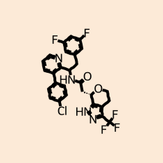 O=C(C[C@@H]1OCCc2c(C(F)(F)F)n[nH]c21)NC(Cc1cc(F)cc(F)c1)c1ncccc1-c1ccc(Cl)cc1